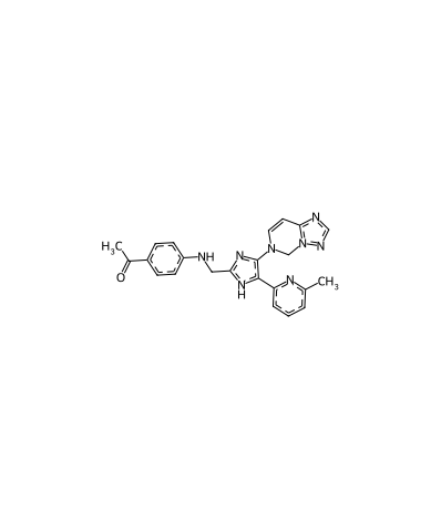 CC(=O)c1ccc(NCc2nc(N3C=Cc4ncnn4C3)c(-c3cccc(C)n3)[nH]2)cc1